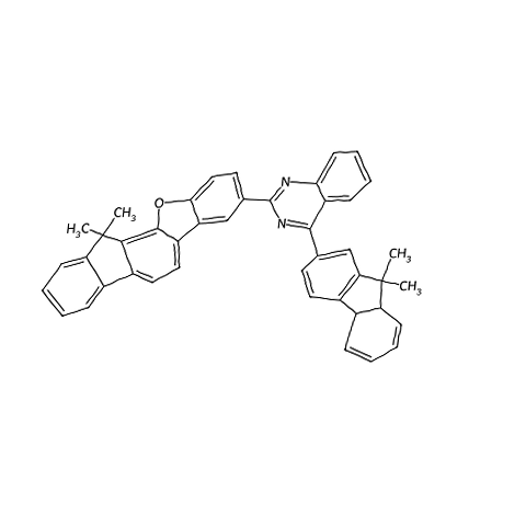 CC1(C)c2ccccc2-c2ccc3c(oc4ccc(-c5nc(-c6ccc7c(c6)C(C)(C)C6C=CC=CC76)c6ccccc6n5)cc43)c21